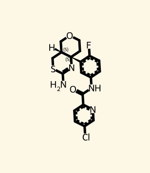 NC1=N[C@@]2(c3cc(NC(=O)c4ccc(Cl)cn4)ccc3F)CCOC[C@H]2CS1